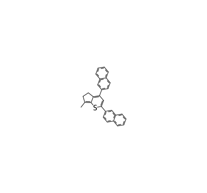 CC1=C2SC(c3ccc4ccccc4c3)=CC(c3ccc4ccccc4c3)=C2CC1